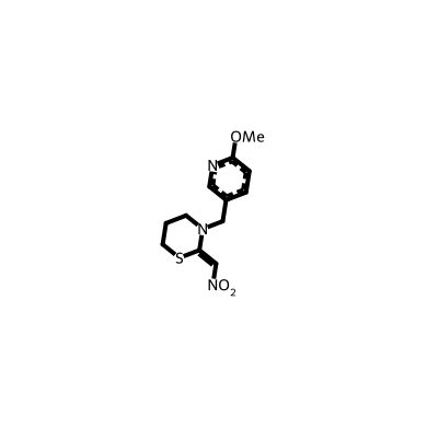 COc1ccc(CN2CCCS/C2=C\[N+](=O)[O-])cn1